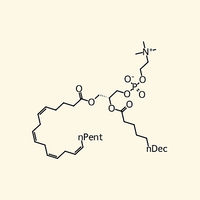 CCCCC/C=C\C/C=C\C/C=C\C/C=C\CCCC(=O)OC[C@H](COP(=O)([O-])OCC[N+](C)(C)C)OC(=O)CCCCCCCCCCCCCC